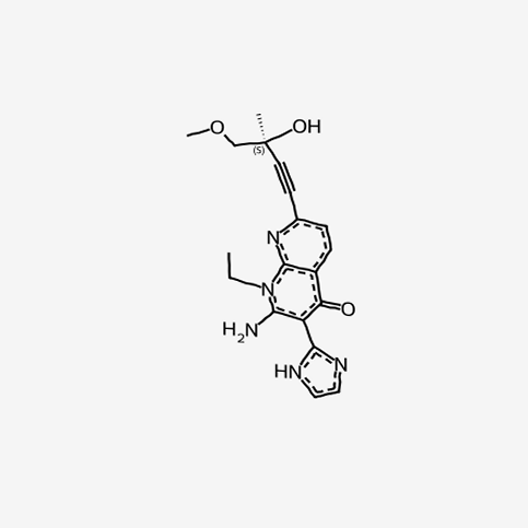 CCn1c(N)c(-c2ncc[nH]2)c(=O)c2ccc(C#C[C@](C)(O)COC)nc21